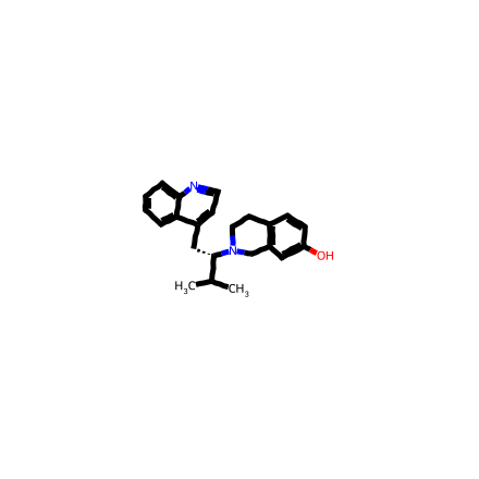 CC(C)[C@H](Cc1ccnc2ccccc12)N1CCc2ccc(O)cc2C1